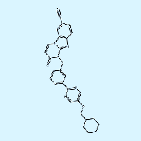 N#Cc1ccc2nc3n(Cc4cccc(-c5ncc(OCC6CCCCC6)cn5)c4)c(=O)ccn3c2c1